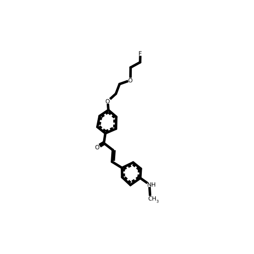 CNc1ccc(/C=C/C(=O)c2ccc(OCCOCCF)cc2)cc1